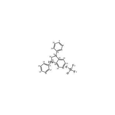 F[B-](F)(F)F.c1ccc(N2C[NH+](c3ccccc3)c3ccccc32)cc1